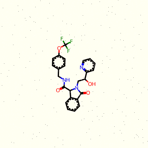 O=C(NCc1ccc(OC(F)(F)F)cc1)C1c2ccccc2C(=O)N1CC(O)c1ccccn1